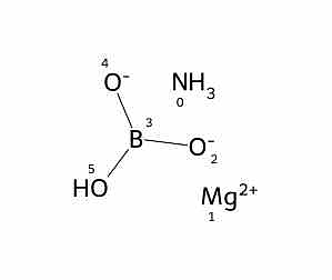 N.[Mg+2].[O-]B([O-])O